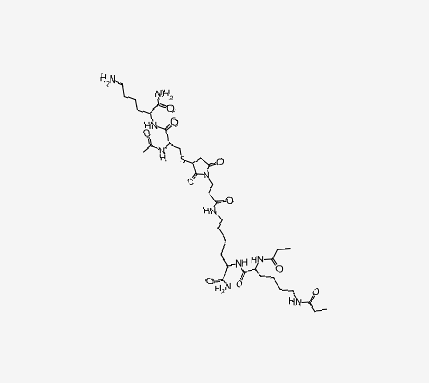 CCC(=O)NCCCCC(NC(=O)CC)C(=O)NC(CCCCNC(=O)CCN1C(=O)CC(SCC(NC(C)=O)C(=O)NC(CCCCN)C(N)=O)C1=O)C(N)=O